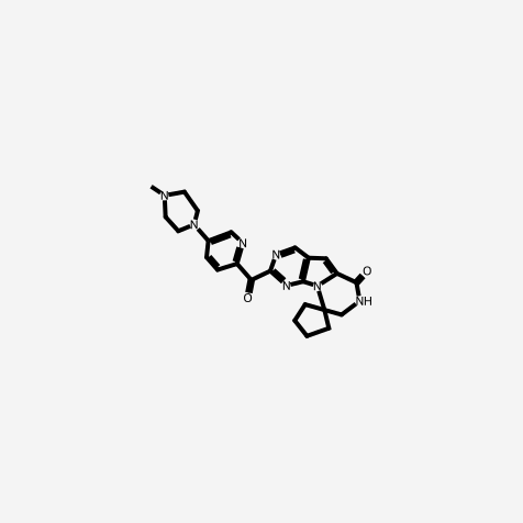 CN1CCN(c2ccc(C(=O)c3ncc4cc5n(c4n3)C3(CCCC3)CNC5=O)nc2)CC1